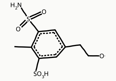 Cc1c(S(N)(=O)=O)cc(CC[O])cc1S(=O)(=O)O